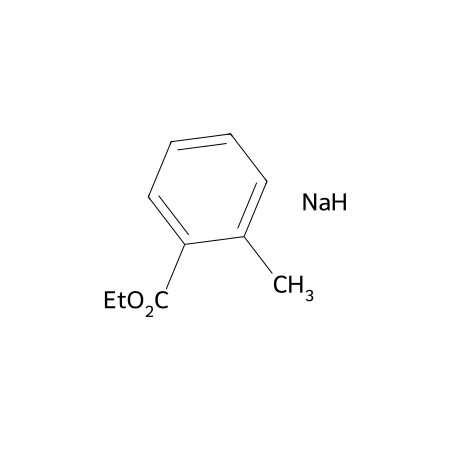 CCOC(=O)c1ccccc1C.[NaH]